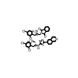 NC[C@@H](Cc1ccc(Cl)cc1Cl)Nc1nnc(-c2ccc3cnccc3c2)s1.N[C@H](Cc1ccc(Cl)cc1Cl)CN1C(=O)c2ccccc2C1=O